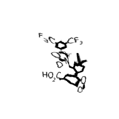 C[C@H]1[C@@H](c2cc(C(F)(F)F)cc(C(F)(F)F)c2)OC(=O)N1CC1=C(c2cc(CC(=O)O)cc3c2OCO3)CCC(C)(C)C1